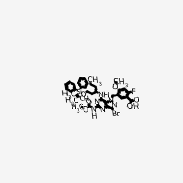 CCCC(CCO[Si](c1ccccc1)(c1ccccc1)C(C)(C)C)Nc1nc(NC(=O)OC)nc2c(Br)nn(Cc3cc(C(=O)O)c(F)cc3OC)c12